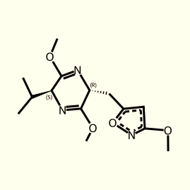 COC1=N[C@H](Cc2cc(OC)no2)C(OC)=N[C@H]1C(C)C